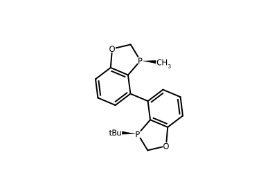 C[P@]1COc2cccc(-c3cccc4c3[P@](C(C)(C)C)CO4)c21